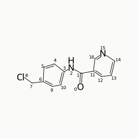 O=C(Nc1ccc(CCl)cc1)c1cccnc1